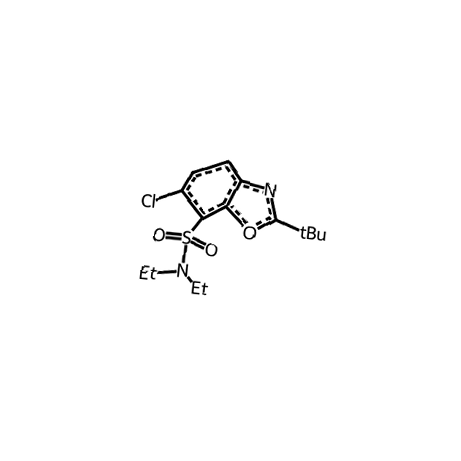 CCN(CC)S(=O)(=O)c1c(Cl)ccc2nc(C(C)(C)C)oc12